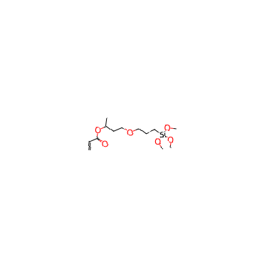 C=CC(=O)OC(C)CCOCCC[Si](OC)(OC)OC